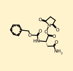 NC(=O)C[C@H](NC(=O)OCc1ccccc1)C(=O)ON1C(=O)CCC1=O